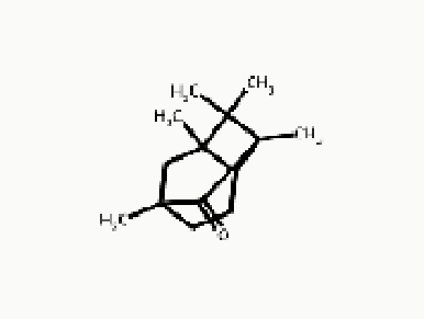 CC12CCC3C(C)(C1)C(C)(C)C3(C)C2=O